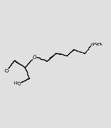 CCCCCCCCCCCOC(C[O])CO